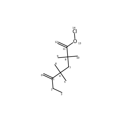 C=C(CC)C(C)(C)CC(C)(C)C(=C)OCl